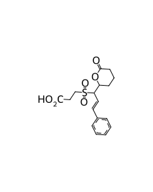 O=C(O)CCS(=O)(=O)C(C=Cc1ccccc1)C1CCCC(=O)O1